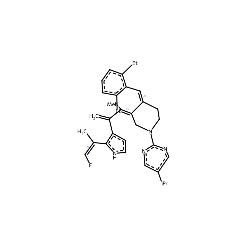 C=C(/C(NC)=C1\CN(c2ncc(C(C)C)cn2)CC\C1=C\c1c(CC)cccc1CC)c1cc[nH]c1/C(C)=C\F